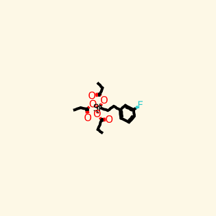 CCC(=O)O[Si](CCc1cccc(F)c1)(OC(=O)CC)OC(=O)CC